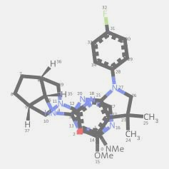 CNc1nc(N[C@H]2[C@@H]3CC[C@H]2CN(c2cc(OC)ncn2)C3)nc2c1C(C)(C)CN2c1ccc(F)cc1